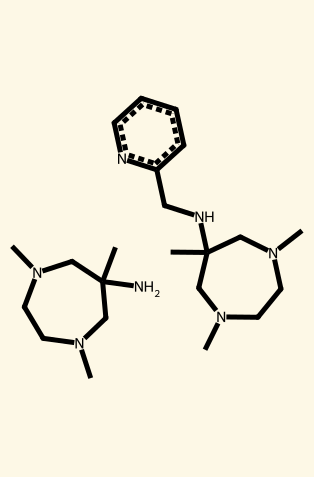 CN1CCN(C)CC(C)(N)C1.CN1CCN(C)CC(C)(NCc2ccccn2)C1